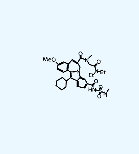 CCN(CC)C(=O)CN(C)C(=O)C1=Cc2cc(OC)ccc2-c2c(C3CCCCC3)c3ccc(C(=O)NS(=O)(=O)N(C)C)cc3n2C1